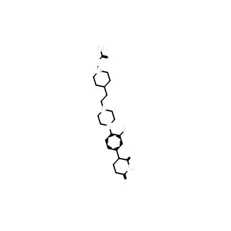 NC(=O)ON1CCC(CCN2CCN(c3ccc(C4CCC(=O)NC4=O)cc3F)CC2)CC1